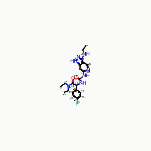 CCNc1n[nH]c2cc(NC(=O)NC(C(=O)N(CC)CC)c3ccc(F)cc3)ncc12